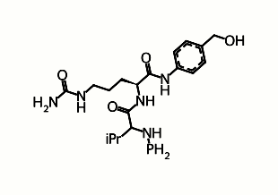 CC(C)C(NP)C(=O)N[C@@H](CCCNC(N)=O)C(=O)Nc1ccc(CO)cc1